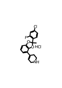 CC1(c2ccc(Cl)cc2F)Oc2cccc(C3=CCNCC3)c2O1.Cl